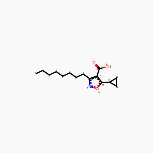 CCCCCCCCc1noc(C2CC2)c1C(=O)O